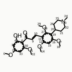 COc1cc(O)c(C(=O)C=Cc2c(OC)cc(OC)c(C3CCN(C)CC3)c2OC)c(OC)c1